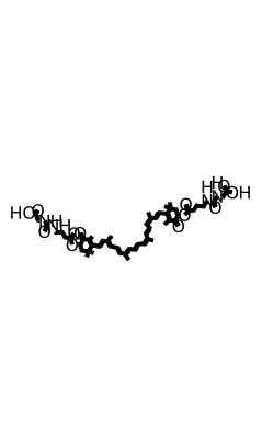 CC(C=CC=C(C)C=CC1=C(C)C(=O)C(OC(=O)CCCNC(=O)NCC(=O)O)CC1(C)C)=CC=CC=C(C)C=CC=C(C)C=CC1=C(C)C(=O)C(OC(=O)CCCNC(=O)NCC(=O)O)CC1(C)C